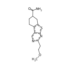 COCCc1ncc2c3c(sc2n1)CC(C(N)=O)CC3